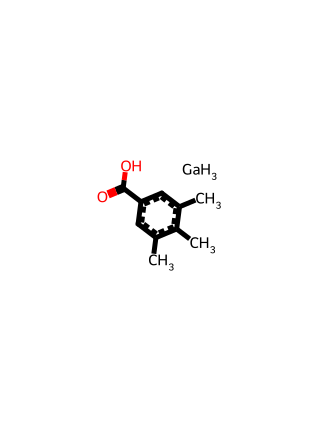 Cc1cc(C(=O)O)cc(C)c1C.[GaH3]